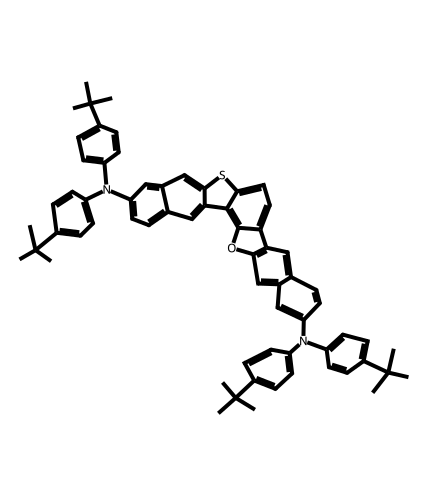 CC(C)(C)c1ccc(N(c2ccc(C(C)(C)C)cc2)c2ccc3cc4c(cc3c2)oc2c4ccc3sc4cc5cc(N(c6ccc(C(C)(C)C)cc6)c6ccc(C(C)(C)C)cc6)ccc5cc4c32)cc1